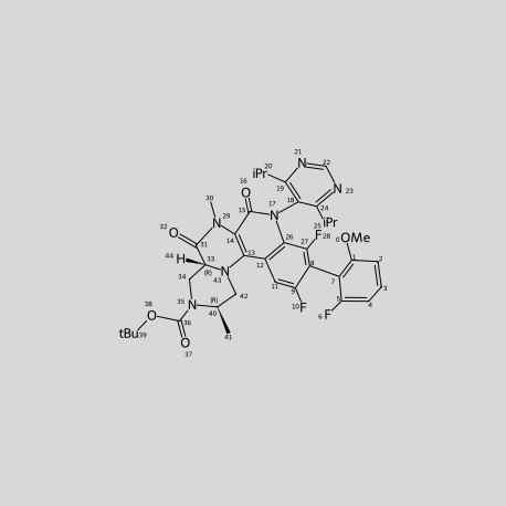 COc1cccc(F)c1-c1c(F)cc2c3c(c(=O)n(-c4c(C(C)C)ncnc4C(C)C)c2c1F)N(C)C(=O)[C@H]1CN(C(=O)OC(C)(C)C)[C@H](C)CN31